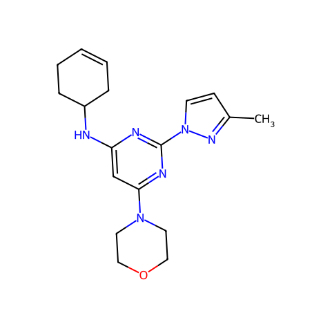 Cc1ccn(-c2nc(NC3CC=CCC3)cc(N3CCOCC3)n2)n1